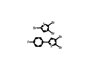 Brc1cc(Br)c(Br)s1.Fc1ccc(-c2cc(Br)c(Br)s2)cc1